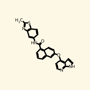 Cc1nc2cc(NC(=O)c3cccc4cc(Oc5ccnc6[nH]ccc56)ccc34)ccc2s1